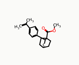 C=C(C)c1ccc(C2CC3CCC2(C(=O)OC)CC3)cc1